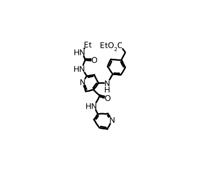 CCNC(=O)Nc1cc(Nc2ccc(CC(=O)OCC)cc2)c(C(=O)Nc2cccnc2)cn1